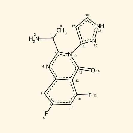 CC(N)c1nc2cc(F)cc(F)c2c(=O)n1-c1cc[nH]n1